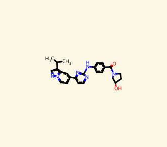 CC(C)c1cnn2ccc(-c3ccnc(Nc4ccc(C(=O)N5CCC(O)C5)cc4)n3)cc12